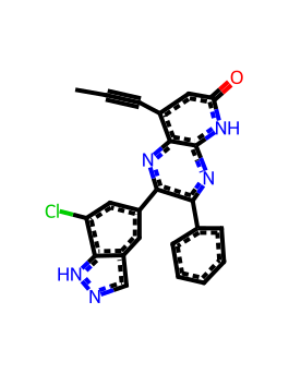 CC#Cc1cc(=O)[nH]c2nc(-c3ccccc3)c(-c3cc(Cl)c4[nH]ncc4c3)nc12